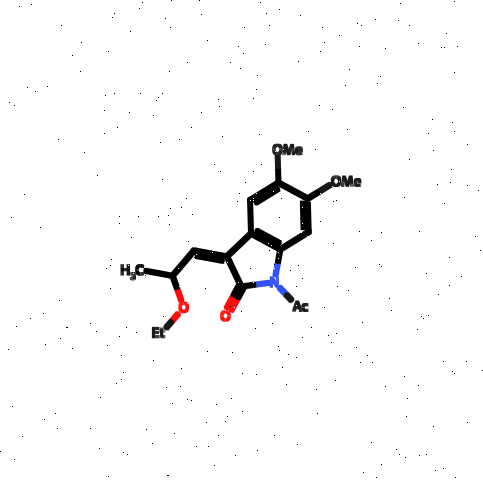 CCOC(C)C=C1C(=O)N(C(C)=O)c2cc(OC)c(OC)cc21